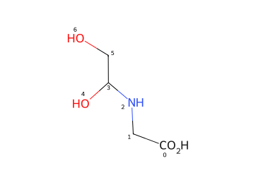 O=C(O)CNC(O)CO